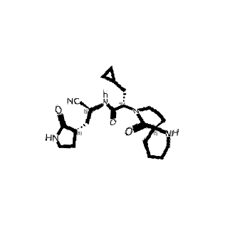 N#C[C@H](C[C@@H]1CCNC1=O)NC(=O)[C@H](CC1CC1)N1CC[C@@]2(CCCCN2)C1=O